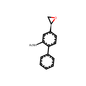 CC(=O)Nc1cc([C@H]2CO2)ccc1-c1ccccc1